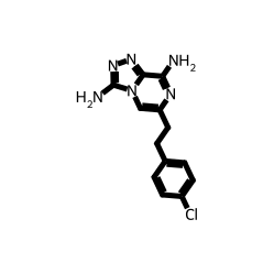 Nc1nc(CCc2ccc(Cl)cc2)cn2c(N)nnc12